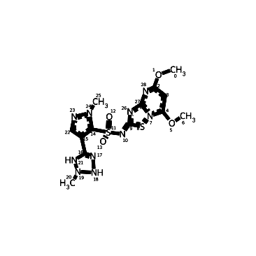 COc1cc(OC)n2sc(=NS(=O)(=O)c3c(C4=NNN(C)N4)cnn3C)nc2n1